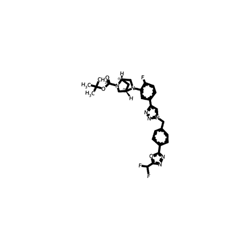 CC(C)(C)OC(=O)N1C[C@@H]2C[C@H]1CN2c1cc(-c2cn(Cc3ccc(-c4nnc(C(F)F)o4)cc3)nn2)ccc1F